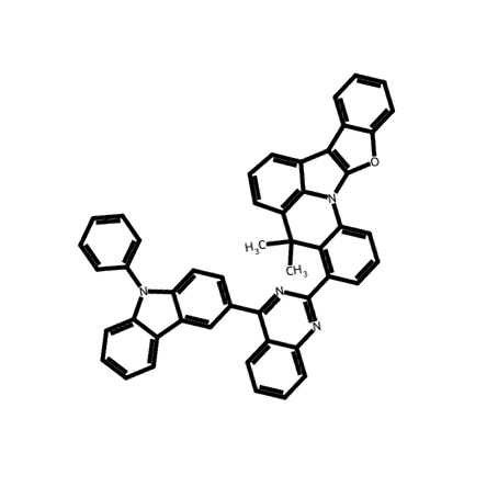 CC1(C)c2c(-c3nc(-c4ccc5c(c4)c4ccccc4n5-c4ccccc4)c4ccccc4n3)cccc2-n2c3oc4ccccc4c3c3cccc1c32